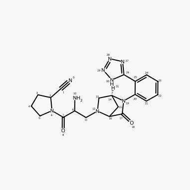 N#CC1CCCN1C(=O)C(N)CN1C[C@@H]2CC1C(=O)N2c1ccccc1-c1nnn[nH]1